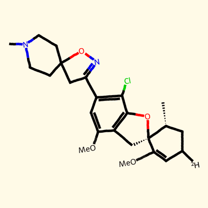 [2H]C1C=C(OC)[C@]2(Cc3c(OC)cc(C4=NOC5(CCN(C)CC5)C4)c(Cl)c3O2)[C@H](C)C1